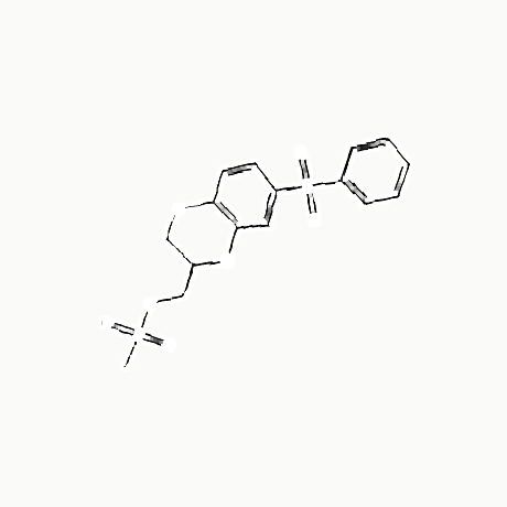 CS(=O)(=O)OCC1COc2ccc(S(=O)(=O)c3ccccc3)cc2O1